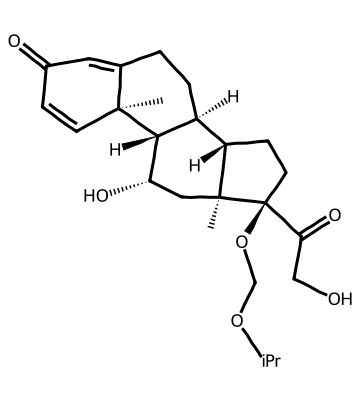 CC(C)OCO[C@]1(C(=O)CO)CC[C@H]2[C@@H]3CCC4=CC(=O)C=C[C@]4(C)[C@H]3[C@@H](O)C[C@@]21C